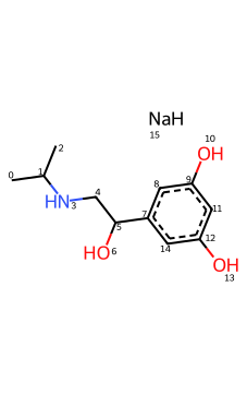 CC(C)NCC(O)c1cc(O)cc(O)c1.[NaH]